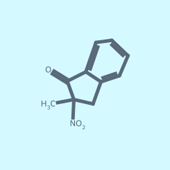 CC1([N+](=O)[O-])Cc2ccccc2C1=O